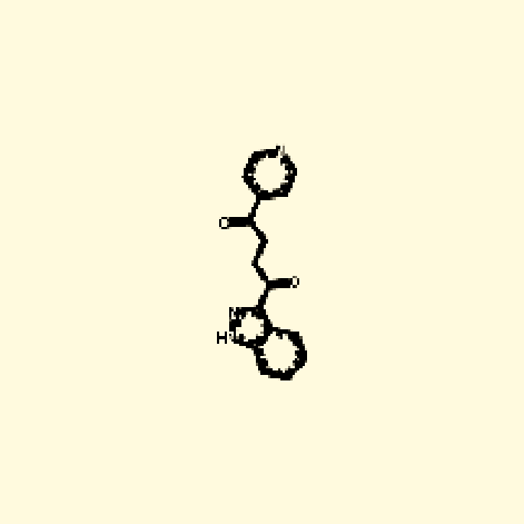 O=C(CCC(=O)c1n[nH]c2ccccc12)c1ccncc1